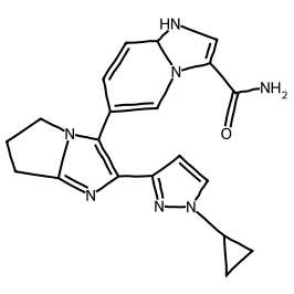 NC(=O)C1=CNC2C=CC(c3c(-c4ccn(C5CC5)n4)nc4n3CCC4)=CN12